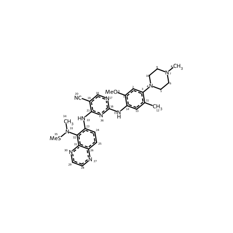 COc1cc(N2CCN(C)CC2)c(C)cc1Nc1ncc(C#N)c(Nc2ccc3nccnc3c2N(C)SC)n1